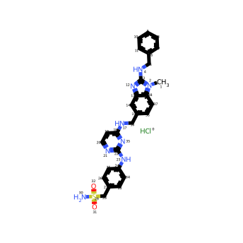 Cl.Cn1c(NCc2ccccc2)nc2cc(CNc3ccnc(Nc4ccc(CS(N)(=O)=O)cc4)n3)ccc21